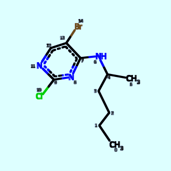 CCCCC(C)Nc1nc(Cl)ncc1Br